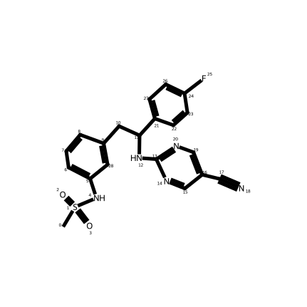 CS(=O)(=O)Nc1cccc(CC(Nc2ncc(C#N)cn2)c2ccc(F)cc2)c1